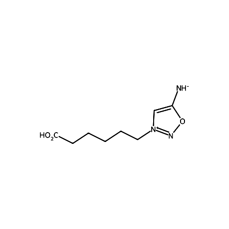 [NH-]c1c[n+](CCCCCC(=O)O)no1